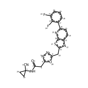 N#CC1(NC(=O)Cc2nnc(Cc3nc4ccc(-c5cccc(F)c5F)nc4s3)o2)CC1